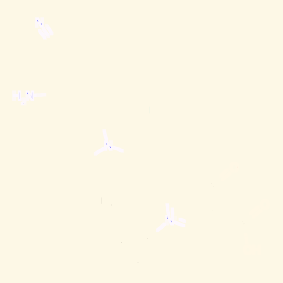 Cc1c(N2CCC(C(N)CC#N)C2)c(F)cc2c(=O)c(C(=O)O)cn(C3CC3)c12